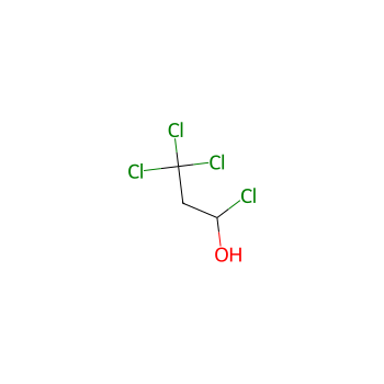 OC(Cl)CC(Cl)(Cl)Cl